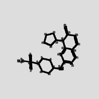 CS(=O)(=O)N1CCC(Nc2ncc3ccc(=O)n(C4CCCC4)c3n2)CC1